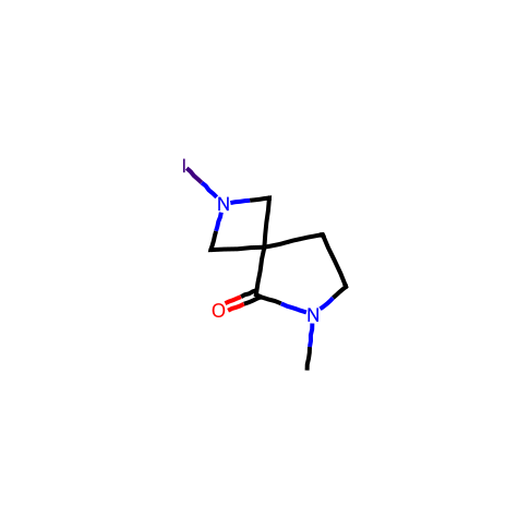 CN1CCC2(CN(I)C2)C1=O